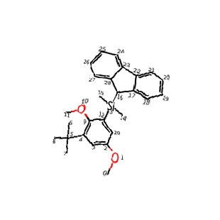 COc1cc(C(C)(C)C)c(OC)c([Si](C)(C)C2c3ccccc3-c3ccccc32)c1